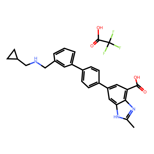 Cc1nc2c(C(=O)O)cc(-c3ccc(-c4cccc(CNCC5CC5)c4)cc3)cc2[nH]1.O=C(O)C(F)(F)F